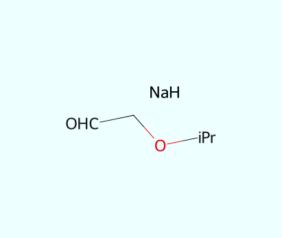 CC(C)OCC=O.[NaH]